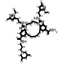 C=C(N)c1cc2c3c(c1)nc(NCCc1cc(C)nn1CC)n3C/C=C/Cn1c(NCCc3cc(C)nn3CC)nc3cc(C(=C)NCCCN4CC(C)CC(C)C4)cc(c31)CCCCC2